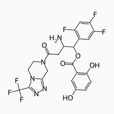 NC(CC(=O)N1CCn2c(nnc2C(F)(F)F)C1)C(OC(=O)c1cc(O)ccc1O)c1cc(F)c(F)cc1F